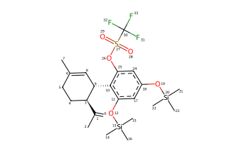 C=C(C)[C@H]1CCC(C)=C[C@@H]1c1c(O[Si](C)(C)C)cc(O[Si](C)(C)C)cc1OS(=O)(=O)C(F)(F)F